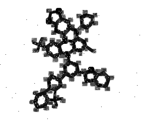 Cc1cc2c3c(c1)N(c1ccccc1)c1cc4c(cc1B3c1cc(C(C)(C)C)ccc1N2c1cc(-c2ccc3c(c2)C(C)(C)c2ccccc2-3)cc(-c2cc3ccccc3o2)c1)OCO4